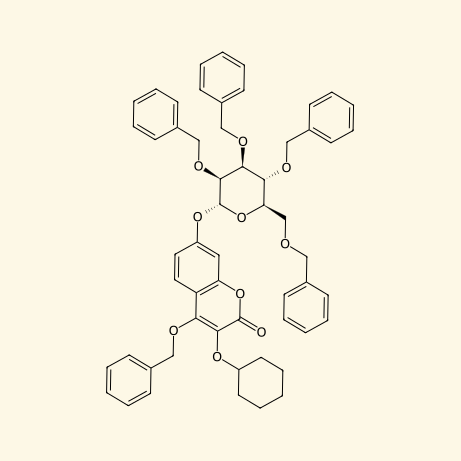 O=c1oc2cc(O[C@H]3O[C@H](COCc4ccccc4)[C@@H](OCc4ccccc4)[C@H](OCc4ccccc4)[C@@H]3OCc3ccccc3)ccc2c(OCc2ccccc2)c1OC1CCCCC1